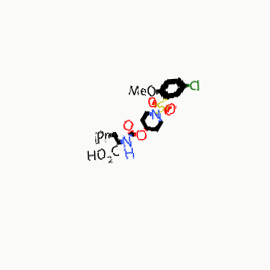 COc1ccc(Cl)cc1S(=O)(=O)N1CCC(OC(=O)N[C@@H](CC(C)C)C(=O)O)CC1